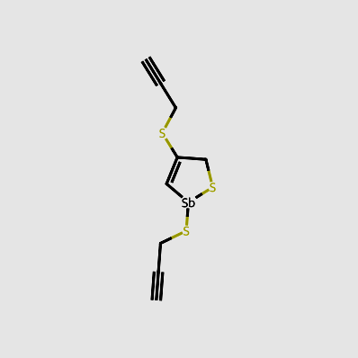 C#CCSC1=[CH][Sb]([S]CC#C)[S]C1